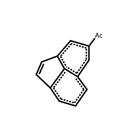 CC(=O)c1cc2c3c(cccc3c1)C=C2